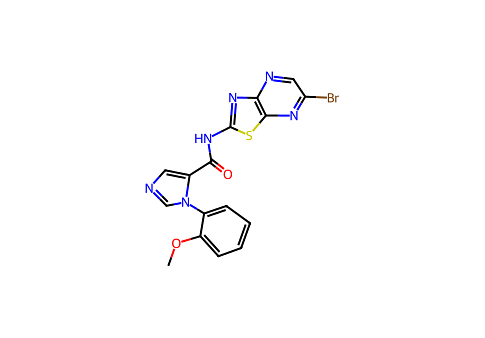 COc1ccccc1-n1cncc1C(=O)Nc1nc2ncc(Br)nc2s1